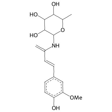 C=C(/C=C/c1ccc(O)c(OC)c1)NC1OC(C)C(O)C(O)C1O